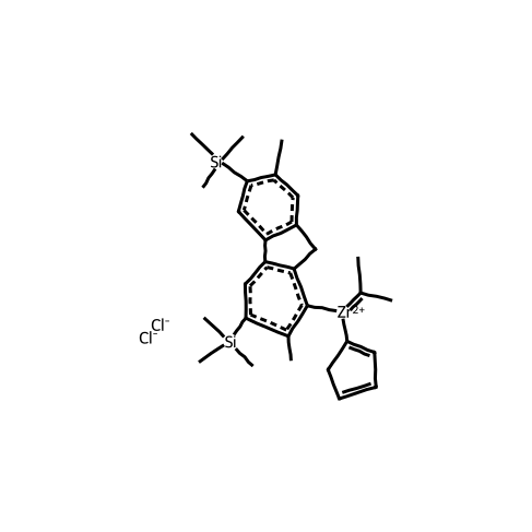 C[C](C)=[Zr+2]([C]1=CC=CC1)[c]1c(C)c([Si](C)(C)C)cc2c1Cc1cc(C)c([Si](C)(C)C)cc1-2.[Cl-].[Cl-]